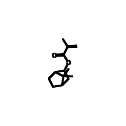 C=C(C)C(=O)OC1CC2CCC1C2(C)C